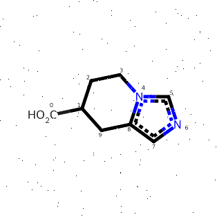 O=C(O)C1CCn2cncc2C1